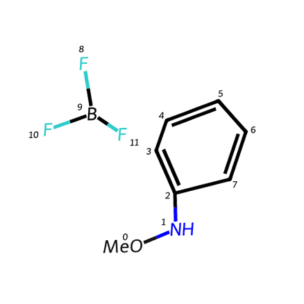 CONc1ccccc1.FB(F)F